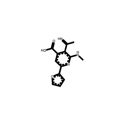 CNc1nc(-c2ccco2)cc(C(=O)O)c1C(C)=N